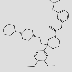 CCc1ccc(C2(CCN3CCN(C4CCCCC4)CC3)CCCN(C(=O)Cc3cccc(OC(C)C)c3)C2)cc1CC